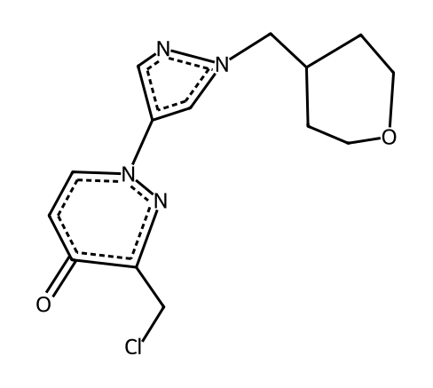 O=c1ccn(-c2cnn(CC3CCOCC3)c2)nc1CCl